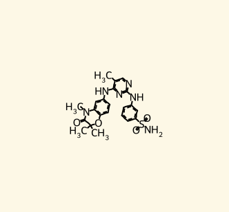 Cc1cnc(Nc2cccc(S(N)(=O)=O)c2)nc1Nc1ccc2c(c1)N(C)C(=O)C(C)(C)O2